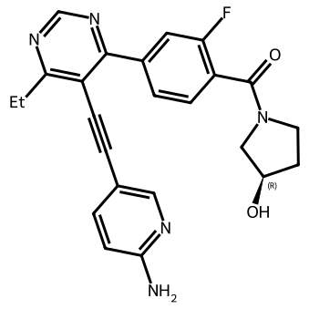 CCc1ncnc(-c2ccc(C(=O)N3CC[C@@H](O)C3)c(F)c2)c1C#Cc1ccc(N)nc1